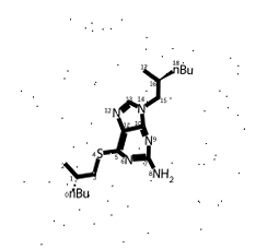 CCCC[C@H](C)CSc1nc(N)nc2c1ncn2C[C@@H](C)CCCC